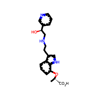 C[C@H](Oc1cccc2c(CCNC[C@@H](O)c3cccnc3)c[nH]c12)C(=O)O